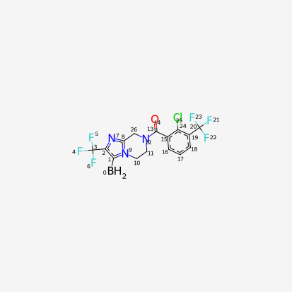 Bc1c(C(F)(F)F)nc2n1CCN(C(=O)c1cccc(C(F)(F)F)c1Cl)C2